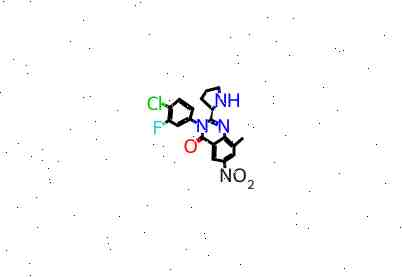 Cc1cc([N+](=O)[O-])cc2c(=O)n(-c3ccc(Cl)c(F)c3)c([C@H]3CCCN3)nc12